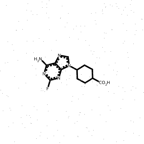 Nc1nc(F)nc2c1ncn2C1CCC(C(=O)O)CC1